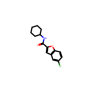 O=C(NC1CCCCC1)c1cc2cc(Cl)ccc2o1